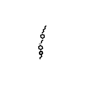 CCCCCC[C@H]1CC[C@H](CCCO[C@H]2CC[C@H](c3ccc(CCC)cc3)CC2)CC1